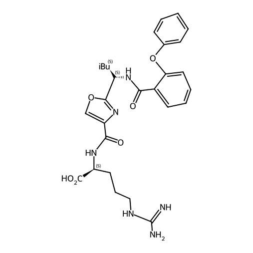 CC[C@H](C)[C@H](NC(=O)c1ccccc1Oc1ccccc1)c1nc(C(=O)N[C@@H](CCCNC(=N)N)C(=O)O)co1